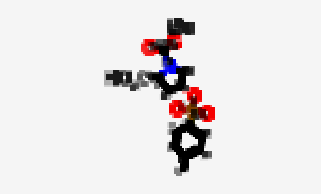 Cc1ccc(S(=O)(=O)O[C@@H]2CC(C(=O)O)N(C(=O)OC(C)(C)C)C2)cc1